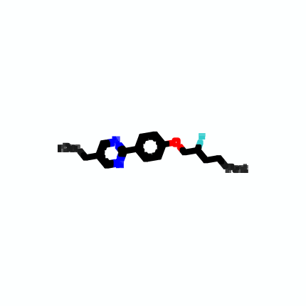 CCCCCCCCCCCc1cnc(-c2ccc(OCC(F)CCC(C)CCC)cc2)nc1